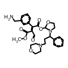 COC(=O)/C(C=O)=C(/C(=O)OC1OCCN1C(CCN1CCOCC1)c1ccccc1)c1cccc(CN)c1